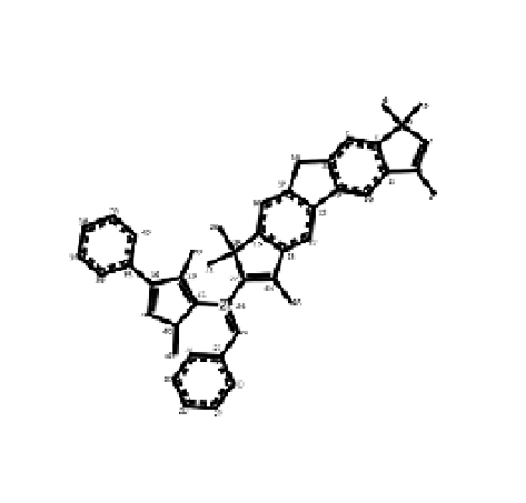 CC1=CC(C)(C)c2cc3c(cc21)-c1cc2c(cc1C3)C(C)(C)[C]([Zr](=[CH]c1ccccc1)[C]1=C(C)C(c3ccccc3)=CC1C)=C2C